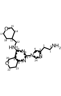 NCCc1cn(-c2nc3c(c(NCC4CCOCC4)n2)COCC3)cn1